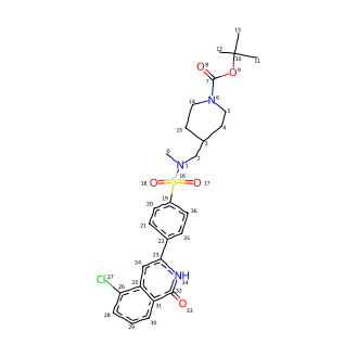 CN(CC1CCN(C(=O)OC(C)(C)C)CC1)S(=O)(=O)c1ccc(-c2cc3c(Cl)cccc3c(=O)[nH]2)cc1